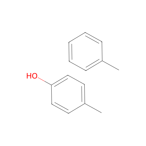 Cc1ccc(O)cc1.Cc1ccccc1